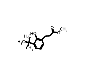 COC(=O)CCc1cccc(C(C)(C)C)c1O